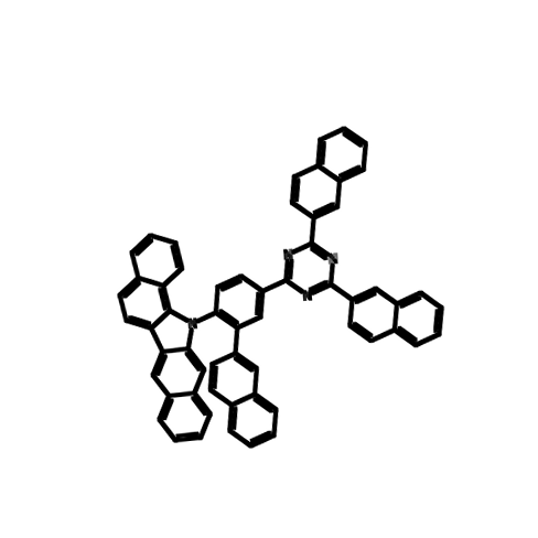 c1ccc2cc(-c3nc(-c4ccc(-n5c6cc7ccccc7cc6c6ccc7ccccc7c65)c(-c5ccc6ccccc6c5)c4)nc(-c4ccc5ccccc5c4)n3)ccc2c1